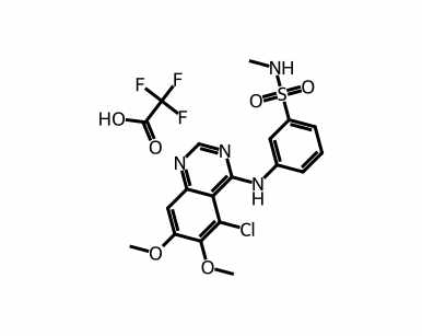 CNS(=O)(=O)c1cccc(Nc2ncnc3cc(OC)c(OC)c(Cl)c23)c1.O=C(O)C(F)(F)F